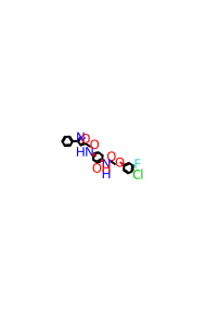 O=C(COc1ccc(Cl)c(F)c1)NC12CCC(NC(=O)c3cc(-c4ccccc4)no3)(CC1)CC2O